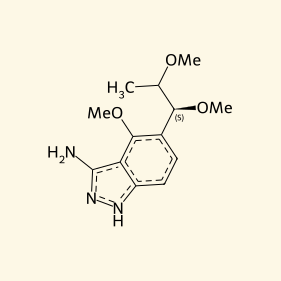 COc1c([C@H](OC)C(C)OC)ccc2[nH]nc(N)c12